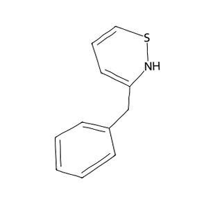 C1=CSNC(Cc2ccccc2)=C1